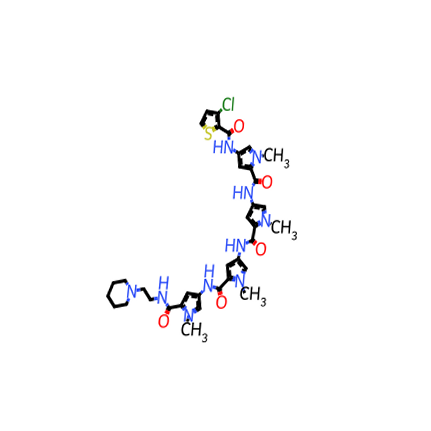 Cn1cc(NC(=O)c2cc(NC(=O)c3cc(NC(=O)c4cc(NC(=O)c5sccc5Cl)cn4C)cn3C)cn2C)cc1C(=O)NCCN1CCCCC1